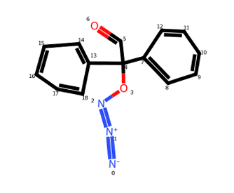 [N-]=[N+]=NOC(C=O)(c1ccccc1)c1ccccc1